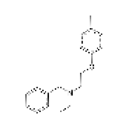 CCN(CCOc1ccc(C)cc1)Cc1ccccc1